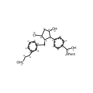 CCCCCC(O)c1ccc(C2[C@@H](Cc3cccc(CCC=O)c3)C(Cl)C[C@H]2O)cc1